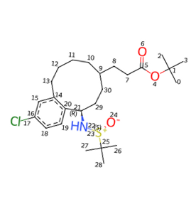 CC(C)(C)OC(=O)CCC1CCCCc2cc(Cl)ccc2[C@H](N[S@+]([O-])C(C)(C)C)CC1